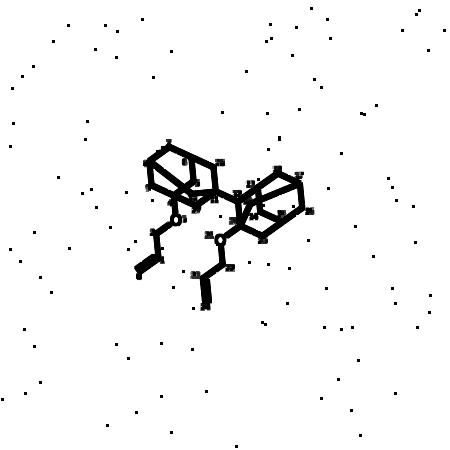 C=CCOC12CC3CC(C1)CC(C1C4CC5CC(C4)CC1(OCC=C)C5)(C3)C2